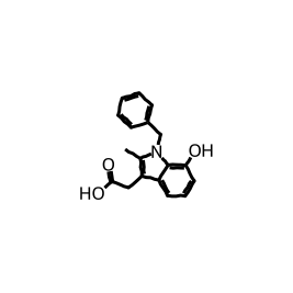 Cc1c(CC(=O)O)c2cccc(O)c2n1Cc1ccccc1